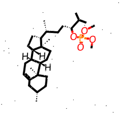 COP(=O)(OC)O[C@H](CC[C@@H](C)[C@H]1CC[C@H]2[C@@H]3CC=C4C[C@@H](C)CC[C@]4(C)[C@H]3CC[C@]12C)C(C)C